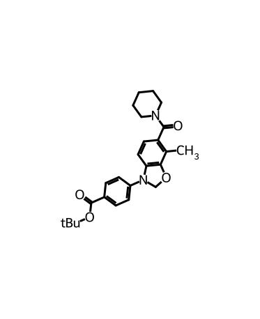 Cc1c(C(=O)N2CCCCC2)ccc2c1OCN2c1ccc(C(=O)OC(C)(C)C)cc1